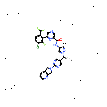 CC(c1cnc(N2Cc3cccnc3C2)nc1)n1cc(NC(=O)c2cncc(-c3c(C(F)F)ccc(Cl)c3F)n2)cn1